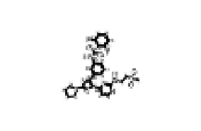 CS(=O)(=O)CCNc1nccc(-c2sc(N3CCCC3)nc2-c2cccc(NS(=O)(=O)c3c(F)cccc3F)c2)n1